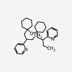 CCC(CC1(OC2(CC(CC)c3ccccn3)CCCCC2)CCCCC1)c1ccccn1